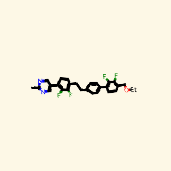 CCOCc1ccc(-c2ccc(CCc3ccc(-c4cnc(C)nc4)c(F)c3F)cc2)c(F)c1F